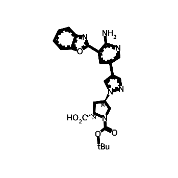 CC(C)(C)OC(=O)N1C[C@H](n2cc(-c3cnc(N)c(-c4nc5ccccc5o4)c3)cn2)C[C@H]1C(=O)O